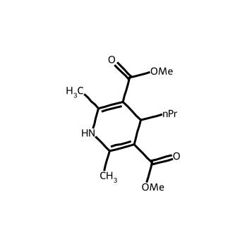 CCCC1C(C(=O)OC)=C(C)NC(C)=C1C(=O)OC